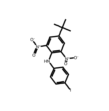 CC(C)(C)c1cc([N+](=O)[O-])c(Nc2ccc(I)cc2)c([N+](=O)[O-])c1